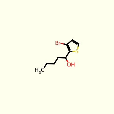 CCCCC(O)c1sccc1Br